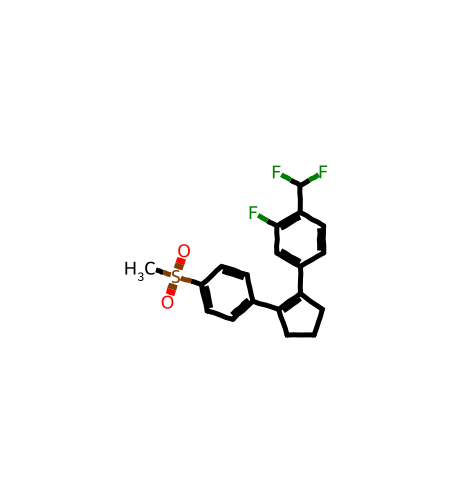 CS(=O)(=O)c1ccc(C2=C(c3ccc(C(F)F)c(F)c3)CCC2)cc1